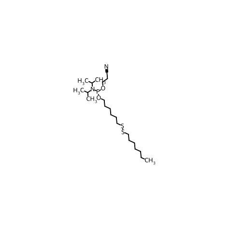 CCCCCCCSSCCCCCCOP(OCCC#N)N(C(C)C)C(C)C